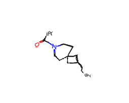 CC(C)CC1CC2(CCN(C(=O)C(C)C)CC2)C1